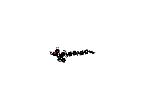 CCCCC[C@H]1CC[C@H](c2ccc(C(=O)Oc3ccc(-c4ccc(C(=O)Oc5cc6c7c(c8c(c6cc5OC)OC(c5ccc(OC)cc5)(c5ccc(OC)cc5)C=C8)C(CC)(OC)c5ccccc5-7)cc4)cc3)cc2)CC1